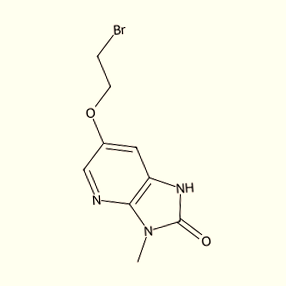 Cn1c(=O)[nH]c2cc(OCCBr)cnc21